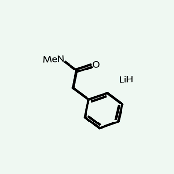 CNC(=O)Cc1ccccc1.[LiH]